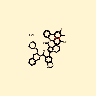 Cc1ccc(-c2ccccc2N(C(=O)c2cc(-c3cc4c(cc3C(=O)N3Cc5ccccc5C[C@H]3CN3CCOCC3)OCO4)n3c2CCCC3)c2ccc(O)cc2)cc1F.Cl